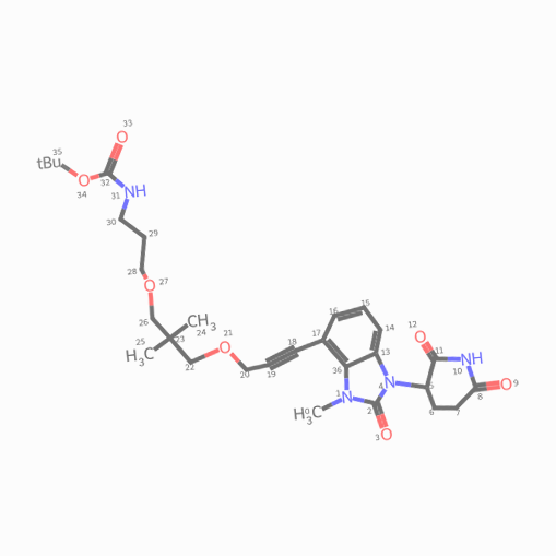 Cn1c(=O)n(C2CCC(=O)NC2=O)c2cccc(C#CCOCC(C)(C)COCCCNC(=O)OC(C)(C)C)c21